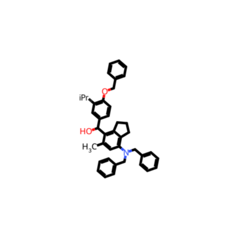 Cc1cc(N(Cc2ccccc2)Cc2ccccc2)c2c(c1C(O)c1ccc(OCc3ccccc3)c(C(C)C)c1)CCC2